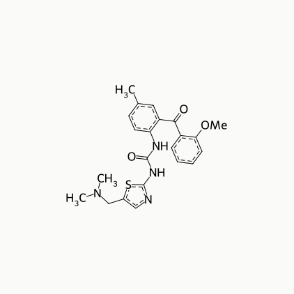 COc1ccccc1C(=O)c1cc(C)ccc1NC(=O)Nc1ncc(CN(C)C)s1